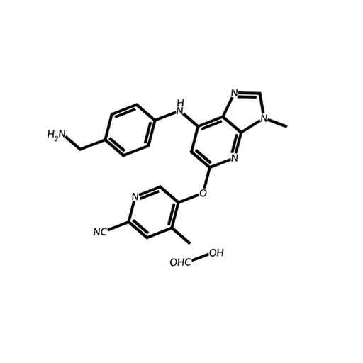 Cc1cc(C#N)ncc1Oc1cc(Nc2ccc(CN)cc2)c2ncn(C)c2n1.O=CO